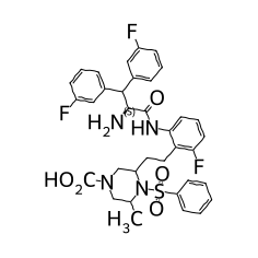 CC1CN(C(=O)O)CC(CCc2c(F)cccc2NC(=O)[C@@H](N)C(c2cccc(F)c2)c2cccc(F)c2)N1S(=O)(=O)c1ccccc1